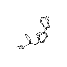 CCCCC(=O)Cc1ccc(-n2ccnc2)s1